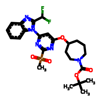 CC(C)(C)OC(=O)N1CCCC(Oc2cc(-n3c(C(F)F)nc4ccccc43)nc(S(C)(=O)=O)n2)CC1